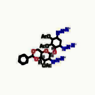 CC(=O)OC1C(N=[N+]=[N-])CC(N=[N+]=[N-])[C@@H](O[C@H]2OC3COC(c4ccccc4)O[C@H]3C(OC(C)=O)C2N=[N+]=[N-])C1OC(C)=O